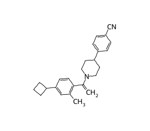 C=C(c1ccc(C2CCC2)cc1C)N1CCC(c2ccc(C#N)cc2)CC1